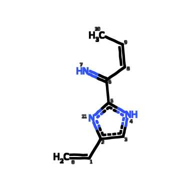 C=Cc1c[nH]c(C(=N)/C=C\C)n1